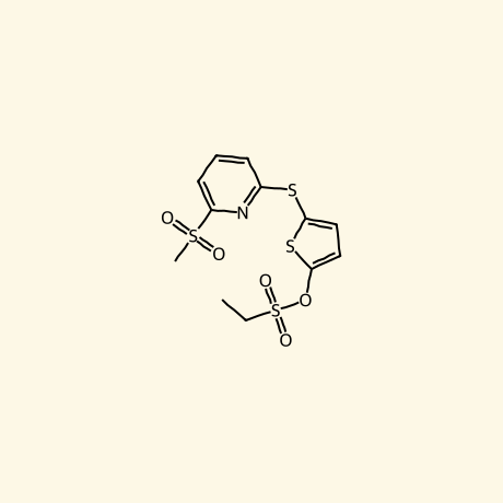 CCS(=O)(=O)Oc1ccc(Sc2cccc(S(C)(=O)=O)n2)s1